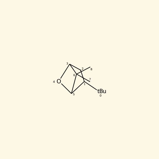 CC(C)(C)C1CC2OC1C2(C)C